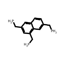 PCc1cc(CP)c2cc(CP)ccc2c1